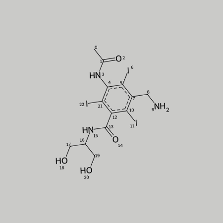 CC(=O)Nc1c(I)c(CN)c(I)c(C(=O)NC(CO)CO)c1I